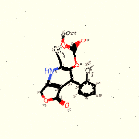 CCCCCCCCOC(=O)OC1=C(C)NC2=C(C(=O)OC2)C1c1ccccc1C(F)(F)F